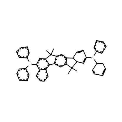 CC1(C)c2cc3c(cc2-c2c1cc(N(c1ccccc1)c1ccccc1)c1ccccc21)C(C)(C)C1C=C(N(c2ccccc2)C2C=CC=CC2)C=CC31